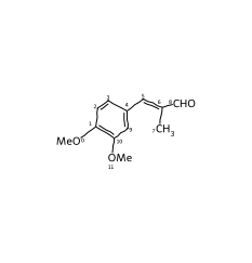 COc1ccc(C=C(C)C=O)cc1OC